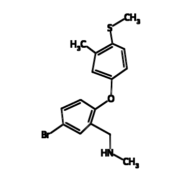 CNCc1cc(Br)ccc1Oc1ccc(SC)c(C)c1